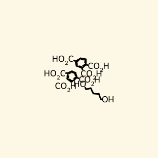 O=C(O)c1ccc(C(=O)O)c(C(=O)O)c1.O=C(O)c1ccc(C(=O)O)c(C(=O)O)c1.OCCCCCO